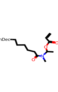 C=CC(=O)OC(C)N(C)C(=O)CCCCCCCCCCCCCCC